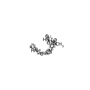 Cn1c(=O)n(C2CCC(=O)NC2=O)c2ccc(CN3CCN(CCO[C@H]4C[C@H](NCC5CCCCC5)C4)CC3)cc21